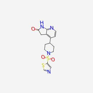 O=C1Cc2c(C3CCN(S(=O)(=O)c4cncs4)CC3)ccnc2N1